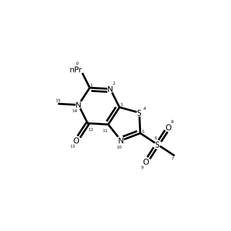 CCCc1nc2sc(S(C)(=O)=O)nc2c(=O)n1C